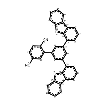 N#Cc1ccc(C#N)c(-c2cc(-c3cccc4c3oc3ccccc34)cc(-c3cccc4c3oc3ccccc34)c2)c1